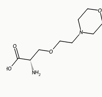 N[C@@H](COCCN1CCOCC1)C(=O)O